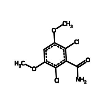 COc1cc(OC)c(Cl)c(C(N)=O)c1Cl